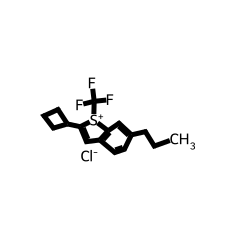 CCCc1ccc2cc(C3CCC3)[s+](C(F)(F)F)c2c1.[Cl-]